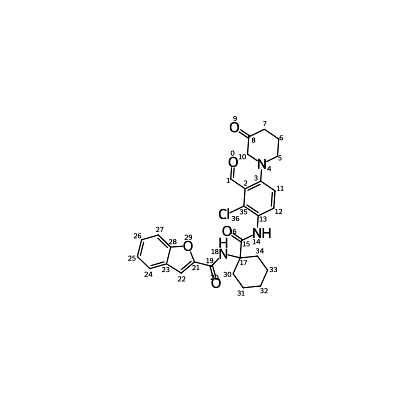 O=Cc1c(N2CCCC(=O)C2)ccc(NC(=O)C2(NC(=O)c3cc4ccccc4o3)CCCCC2)c1Cl